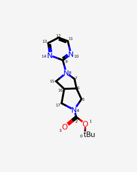 CC(C)(C)OC(=O)N1CC2CN(c3ncccn3)CC2C1